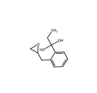 CCC(O)(O)c1ccccc1CC1CO1